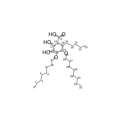 CCCCCCCCOc1c(O)c(O)c(C(=O)O)c(CCCCC)c1OCCCCCCCC